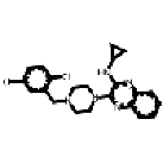 Clc1ccc(Cl)c(CN2CCN(c3nc4ccccc4nc3NC3CC3)CC2)c1